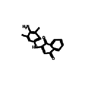 Cc1cc(NC2=CC(=O)c3ccccc3C2=O)cc(C)c1N